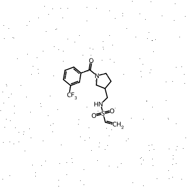 C=CS(=O)(=O)NCC1CCN(C(=O)c2cccc(C(F)(F)F)c2)C1